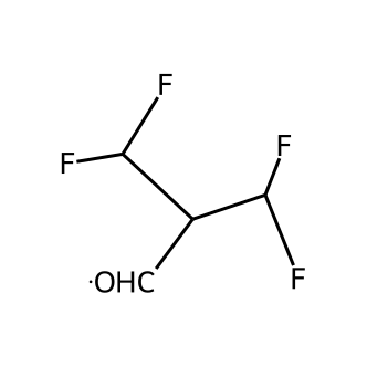 O=[C]C(C(F)F)C(F)F